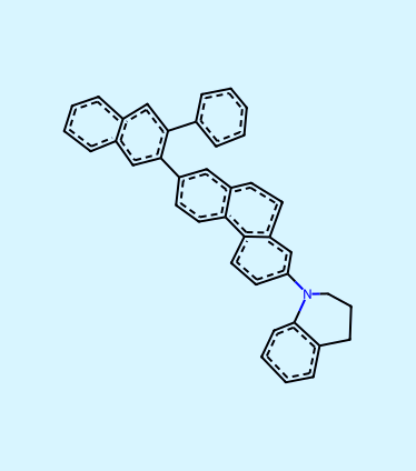 c1ccc(-c2cc3ccccc3cc2-c2ccc3c(ccc4cc(N5CCCc6ccccc65)ccc43)c2)cc1